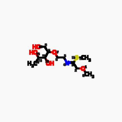 COC/C(=N/CCO[C@H](CO)[C@@H](O)[C@@H](C)O)SC